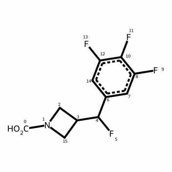 O=C(O)N1CC(C(F)c2cc(F)c(F)c(F)c2)C1